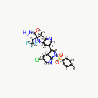 Cc1ccc(S(=O)(=O)n2cc(-c3cncc(NC(CC(F)(F)F)(C(N)=O)C(C)C)c3)c3cc(Cl)cnc32)cc1